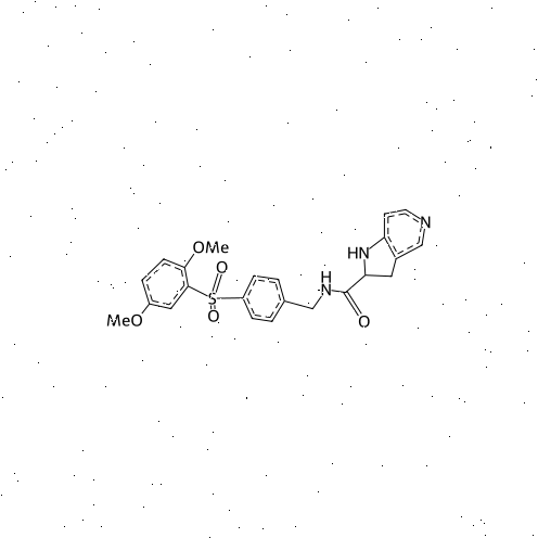 COc1ccc(OC)c(S(=O)(=O)c2ccc(CNC(=O)C3Cc4cnccc4N3)cc2)c1